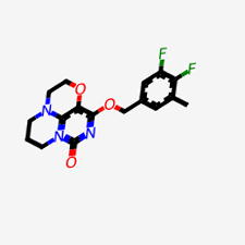 Cc1cc(COc2nc(=O)n3c4c2OCCN4CCC3)cc(F)c1F